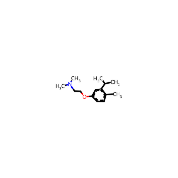 Cc1ccc(OCCN(C)C)cc1C(C)C